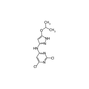 CC(C)Oc1cc(Nc2cc(Cl)nc(Cl)n2)n[nH]1